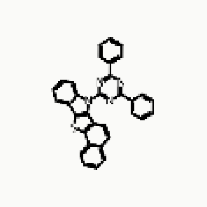 c1ccc(-c2nc(-c3ccccc3)nc(-n3c4ccccc4c4sc5c6ccccc6ccc5c43)n2)cc1